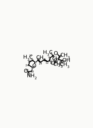 CO[C@H](C(C)OC(C)(C)C[C@H](C)/C=C/C=C(\C)[C@H]1O[C@@H](CC(N)=O)CC[C@@H]1C)[C@@H](C)O